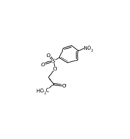 O=C(O)C(=O)COS(=O)(=O)c1ccc([N+](=O)[O-])cc1